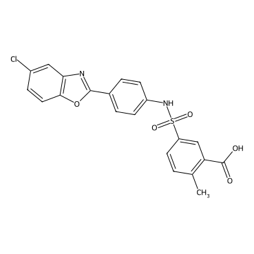 Cc1ccc(S(=O)(=O)Nc2ccc(-c3nc4cc(Cl)ccc4o3)cc2)cc1C(=O)O